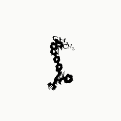 Cc1cc(C)c2ccc3ccc(-c4ccc(-c5ccc(-c6cc(-c7ccncc7)nc(-c7ccccc7)n6)cc5)cc4)nc3c2n1